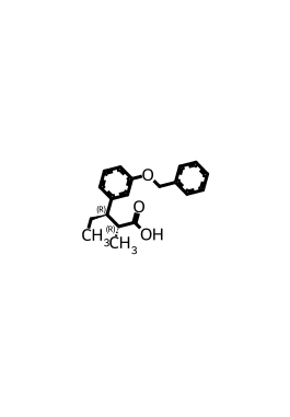 CC[C@@H](c1cccc(OCc2ccccc2)c1)[C@@H](C)C(=O)O